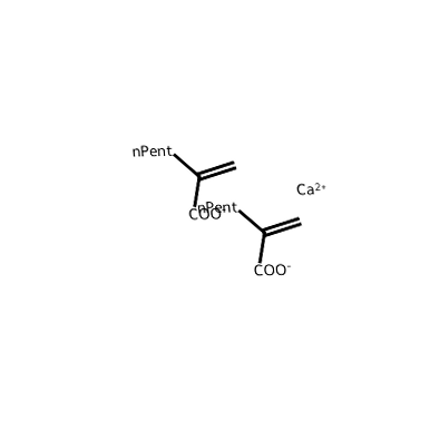 C=C(CCCCC)C(=O)[O-].C=C(CCCCC)C(=O)[O-].[Ca+2]